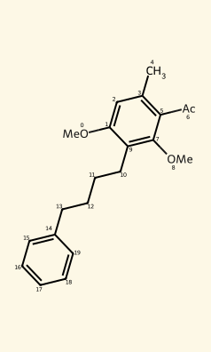 COc1cc(C)c(C(C)=O)c(OC)c1CCCCc1ccccc1